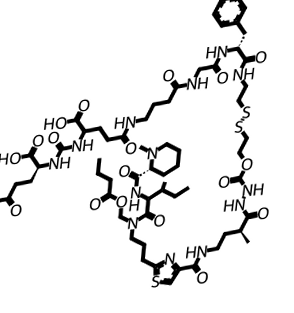 CCCC(=O)OCN(CCCc1nc(C(=O)NCC[C@H](C)C(=O)NNC(=O)OCCSSCCNC(=O)[C@@H](Cc2ccccc2)NC(=O)CNC(=O)CCCNC(=O)CCC(NC(=O)N[C@@H](CCC(=O)O)C(=O)O)C(=O)O)cs1)C(=O)C(NC(=O)[C@H]1CCCCN1C)C(C)CC